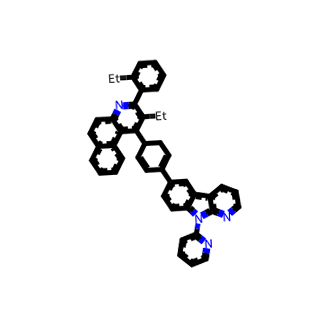 CCc1ccccc1-c1nc2ccc3ccccc3c2c(C2C=CC(c3ccc4c(c3)c3cccnc3n4-c3ccccn3)=CC2)c1CC